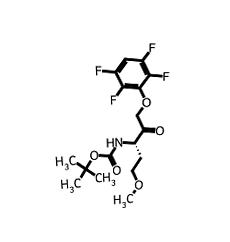 COCC[C@H](NC(=O)OC(C)(C)C)C(=O)COc1c(F)c(F)cc(F)c1F